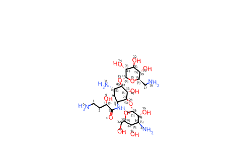 NCC[C@H](O)C(=O)NC1C[C@H](N)[C@@H](O[C@H]2O[C@H](CN)[C@@H](O)C(O)[C@H]2O)[C@H](O)[C@H]1O[C@H]1O[C@H](CO)[C@@H](O)[C@H](N)[C@H]1O